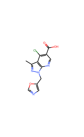 Cc1nn(Cc2cnco2)c2ncc(C(=O)O)c(Cl)c12